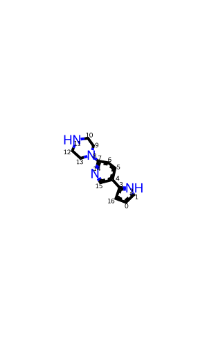 c1c[nH]c(-c2ccc(N3CCNCC3)nc2)c1